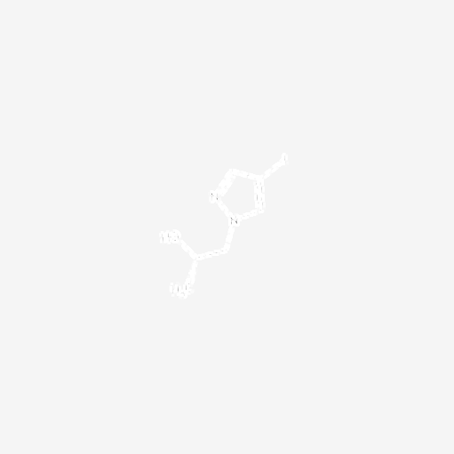 C[C@H](O)Cn1cc(I)cn1